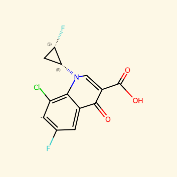 O=C(O)c1cn([C@@H]2C[C@@H]2F)c2c(Cl)[c]c(F)cc2c1=O